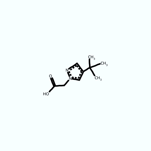 CC(C)(C)c1cnn(CC(=O)O)c1